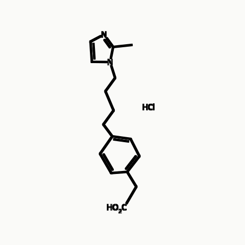 Cc1nccn1CCCCc1ccc(CC(=O)O)cc1.Cl